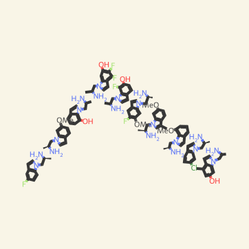 CC(N)Cn1ccc2c(F)c(F)c(O)cc21.CC(N)Cn1ccc2ccc(O)c(F)c21.CC(N)Cn1ccc2cccc(O)c21.COc1cc2c(ccn2C[C@H](C)N)cc1F.COc1ccc2c(C)cn(C[C@H](C)N)c2c1.COc1ccc2ccn(C[C@H](C)N)c2c1.COc1cccc2ccn(C[C@H](C)N)c12.C[C@H](N)Cn1ccc2cc(F)ccc21.C[C@H](N)Cn1ccc2ccc(Cl)cc21.Cc1cc(O)cc2c1ccn2CC(C)N